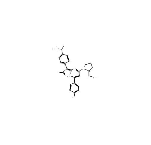 Cc1nn2c(-c3ccc(F)cc3)cc(N3CCCC3CO)nc2c1-c1ccc(C(C)O)cc1